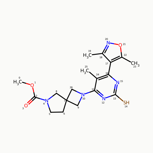 COC(=O)N1CCC2(C1)CN(c1nc(S)nc(-c3c(C)noc3C)c1C)C2